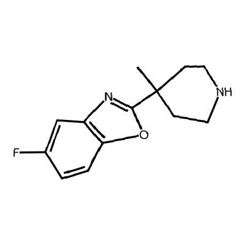 CC1(c2nc3cc(F)ccc3o2)CCNCC1